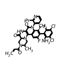 C=CC(=O)N1CC2C(=O)Nc3c(c4cc(F)c(-c5c(N)c(Cl)cc(Cl)c5F)c(F)c4n(-c4c(C)ccnc4C(C)C)c3=O)N2CC1C